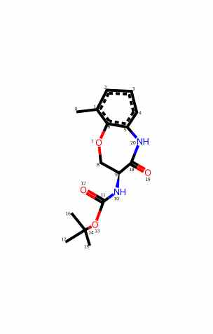 Cc1cccc2c1OC[C@H](NC(=O)OC(C)(C)C)C(=O)N2